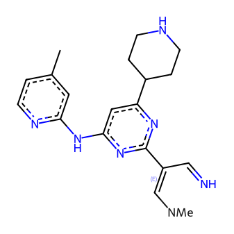 CN/C=C(\C=N)c1nc(Nc2cc(C)ccn2)cc(C2CCNCC2)n1